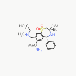 CCCC[C@]1(CC)CS(=O)(=O)c2cc(CN(C)CC(=O)O)c(OC)cc2[C@@H](c2ccccc2)N1.N